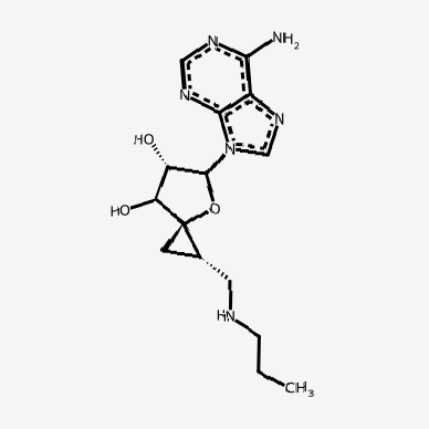 CCCNC[C@@H]1C[C@@]12OC(n1cnc3c(N)ncnc31)[C@@H](O)C2O